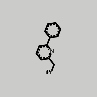 CC(C)Cc1cccc(-c2ccccc2)n1